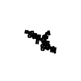 COc1cc2nc([C@@H](CNC(=O)c3c(Cl)cc(-n4cnc(C)n4)cc3Cl)n3cc(CN(C)C)nn3)[nH]c2cc1Cl